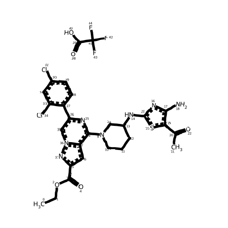 CCOC(=O)c1cc2c(N3CCCC(Nc4nc(N)c(C(C)=O)s4)C3)nc(-c3ccc(Cl)cc3Cl)cn2n1.O=C(O)C(F)(F)F